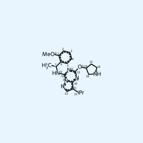 COc1ccccc1[C@H](C)Nc1nc(OC2CCNC2)nc2c(C(C)C)cnn12